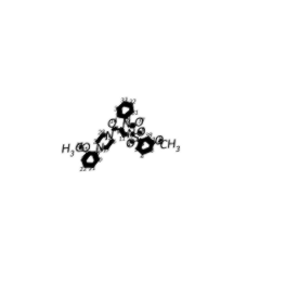 COc1cccc(S(=O)(=O)N2C[C@@H](C(=O)N3CCN(c4ccccc4OC)CC3)N(c3ccccc3)C2=O)c1